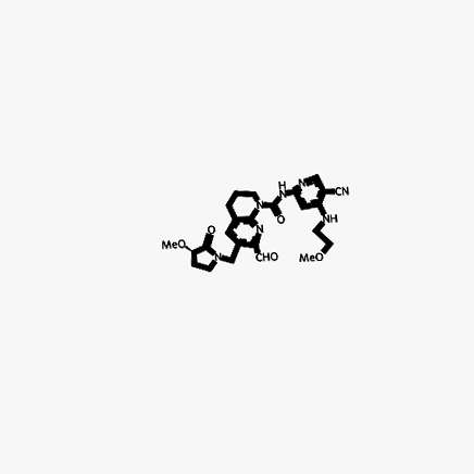 COCCNc1cc(NC(=O)N2CCCc3cc(CN4CC[C@H](OC)C4=O)c(C=O)nc32)ncc1C#N